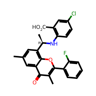 Cc1cc([C@@H](C)Nc2ccc(Cl)cc2C(=O)O)c2oc(-c3ccccc3F)c(C)c(=O)c2c1